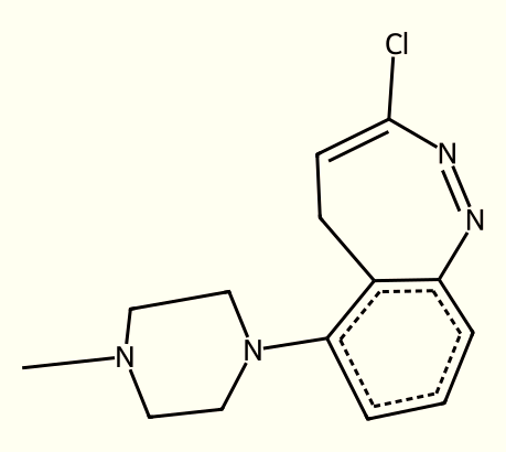 CN1CCN(c2cccc3c2CC=C(Cl)N=N3)CC1